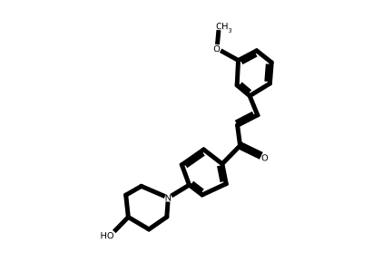 COc1cccc(C=CC(=O)c2ccc(N3CCC(O)CC3)cc2)c1